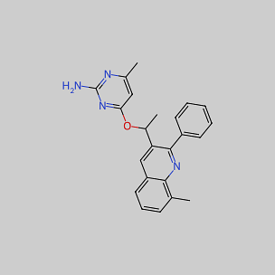 Cc1cc(OC(C)c2cc3cccc(C)c3nc2-c2ccccc2)nc(N)n1